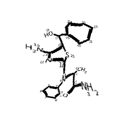 CC(C(N)=O)N(c1ccccc1)c1nc(N)c(C(O)c2ccccc2)s1